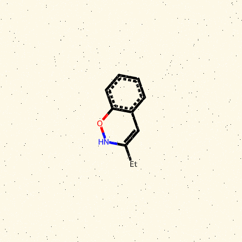 CCC1=Cc2ccccc2ON1